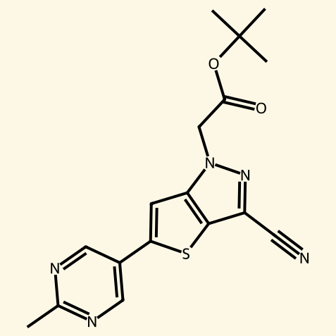 Cc1ncc(-c2cc3c(s2)c(C#N)nn3CC(=O)OC(C)(C)C)cn1